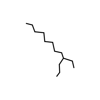 CCCCCCCCC(CC)CCC